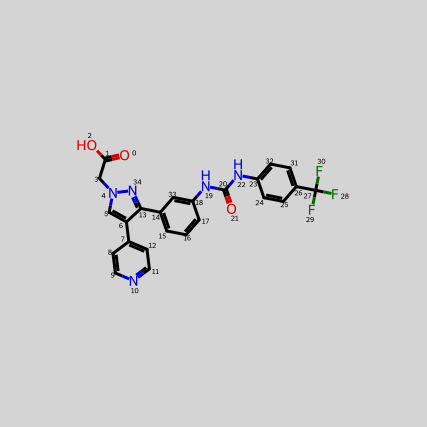 O=C(O)Cn1cc(-c2ccncc2)c(-c2cccc(NC(=O)Nc3ccc(C(F)(F)F)cc3)c2)n1